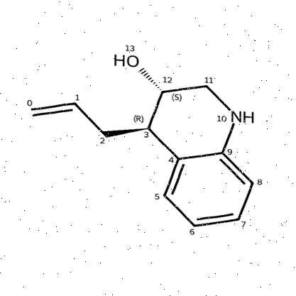 C=CC[C@@H]1c2ccccc2NC[C@H]1O